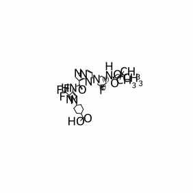 CC(C)(C)OC(=O)N[C@@H]1C[C@@H](F)CN(c2ccn3ncc(C(=O)Nc4cn(C5CCC(C(=O)O)CC5)nc4C(F)(F)F)c3n2)C1